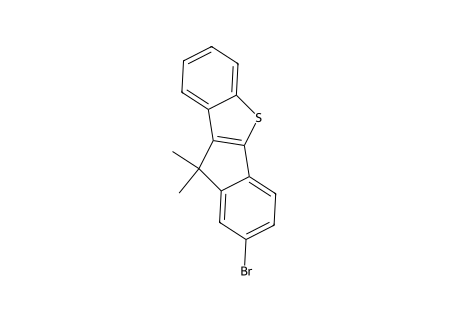 CC1(C)c2cc(Br)ccc2-c2sc3ccccc3c21